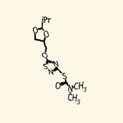 CC(C)C1OCC(COc2nc(SC(=O)N(C)C)ns2)O1